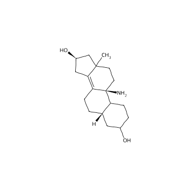 CC12CC[C@@]3(N)C(=C1C[C@@H](O)C2)CC[C@H]1CC(O)CCC13